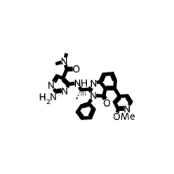 COc1cc(-c2cccc3nc([C@H](C)Nc4nc(N)ncc4C(=O)N(C)C)n(-c4ccccc4)c(=O)c23)ccn1